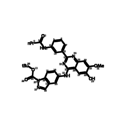 CCCC(=O)Nc1cccc(-c2nc(Nc3ccc4c(cnn4C(=O)OC(C)(C)C)c3)c3cc(O)c(OC)cc3n2)c1